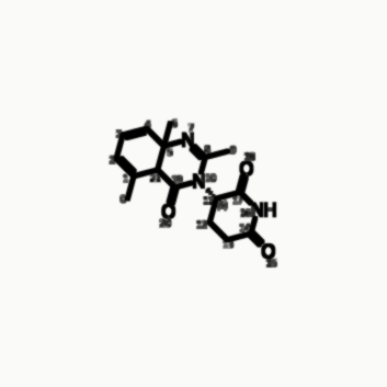 CC1=CC=CC2(C)N=C(C)N([C@H]3CCC(=O)NC3=O)C(=O)C12